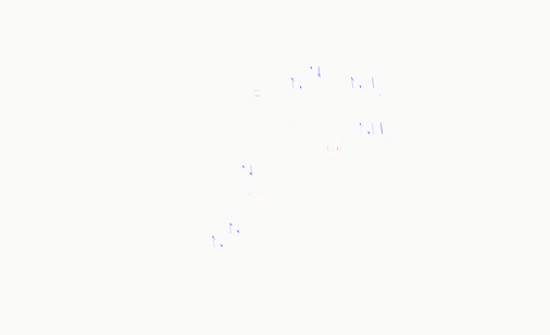 Cc1cc(C)n(CC(=O)N2CCc3c2ccc(-c2nn(C)c(N)c2C(N)=O)c3F)n1